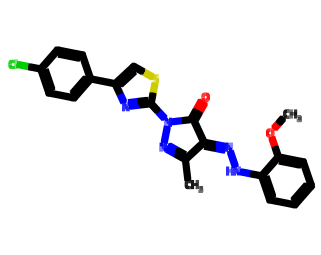 COc1ccccc1N/N=C1/C(=O)N(c2nc(-c3ccc(Cl)cc3)cs2)N=C1C